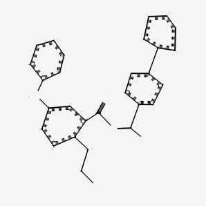 CC(NC(=O)c1cc(Oc2ccccc2)ccc1CCC(=O)O)c1ccc(-c2ccccc2)cc1